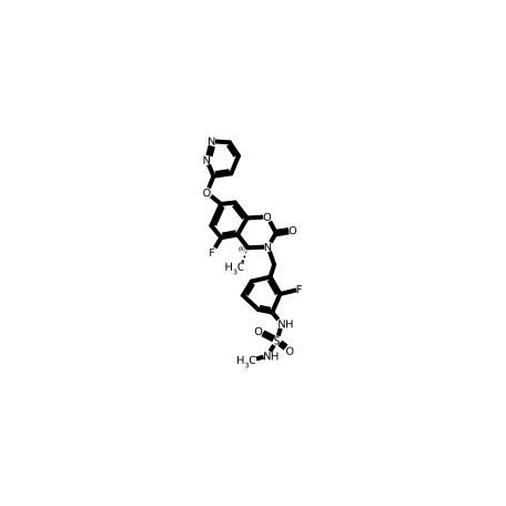 CNS(=O)(=O)Nc1cccc(CN2C(=O)Oc3cc(Oc4cccnn4)cc(F)c3[C@H]2C)c1F